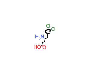 N[C@H](CCC(=O)O)Cc1ccc(Cl)c(Cl)c1